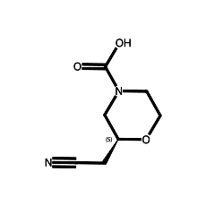 N#CC[C@H]1CN(C(=O)O)CCO1